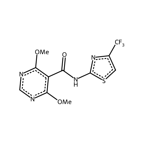 COc1ncnc(OC)c1C(=O)Nc1nc(C(F)(F)F)cs1